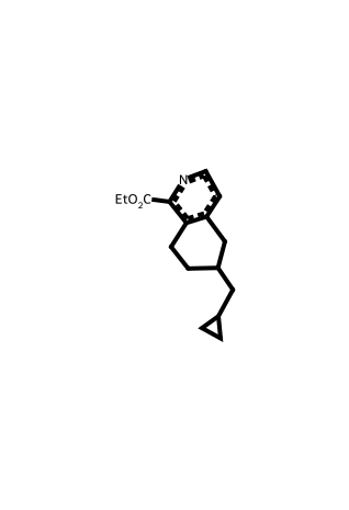 CCOC(=O)c1nccc2c1CCC(CC1CC1)C2